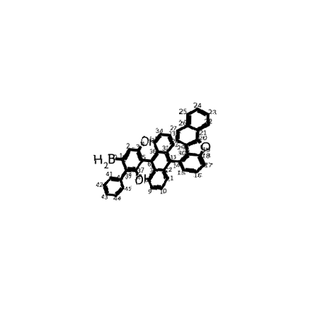 Bc1cc(O)c(-c2c3ccccc3c(-c3cccc4oc5c6ccccc6ccc5c34)c3ccccc23)c(O)c1-c1ccccc1